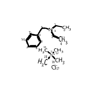 CCN(CC)Cc1ccccc1.C[N+](C)(C)C.[Cl-]